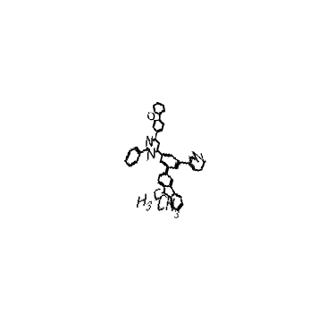 CC1(C)c2ccccc2-c2cc(-c3cc(-c4cccnc4)cc(-c4cc(-c5ccc6c(c5)oc5ccccc56)nc(-c5ccccc5)n4)c3)ccc21